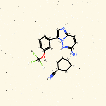 N#C[C@H]1CC[C@H](Nc2ccc3ncc(-c4cccc(OC(F)(F)F)c4)n3n2)CC1